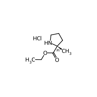 CCOC(=O)[C@@]1(C)CCCN1.Cl